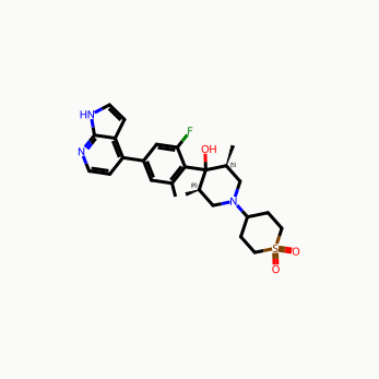 Cc1cc(-c2ccnc3[nH]ccc23)cc(F)c1C1(O)[C@H](C)CN(C2CCS(=O)(=O)CC2)C[C@@H]1C